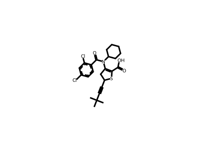 CC(C)(C)C#CC1CC(N(C(=O)c2ccc(Cl)cc2Cl)C2CCCCC2)=C(C(=O)O)S1